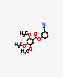 COc1cc(OC)c(C(=O)Oc2cccc(C#N)c2)cc1OC